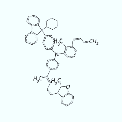 C=C/C=C\c1cccc(N(c2ccc(/C(C)=C/C=C\C3c4ccccc4O[C@H]3C)cc2)c2ccc(C3(C4CCCCC4)c4ccccc4-c4ccccc43)cc2)c1C